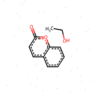 CCO.O=c1ccc2ccccc2o1